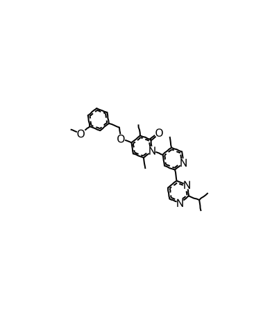 COc1cccc(COc2cc(C)n(-c3cc(-c4ccnc(C(C)C)n4)ncc3C)c(=O)c2C)c1